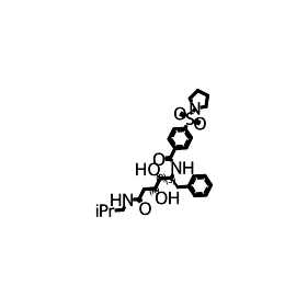 CC(C)CNC(=O)C[C@@H](O)[C@H](O)[C@H](Cc1ccccc1)NC(=O)c1ccc(S(=O)(=O)N2CCCC2)cc1